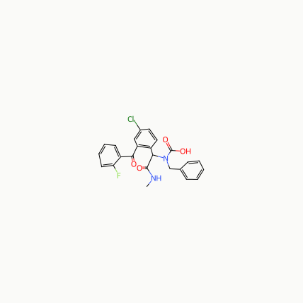 CNC(=O)C(c1ccc(Cl)cc1C(=O)c1ccccc1F)N(Cc1ccccc1)C(=O)O